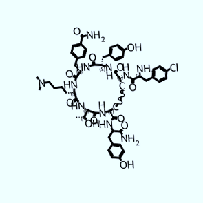 C[C@@H](O)[C@@H]1NC(=O)[C@H](CCCCN(C)C)NC(=O)[C@@H](Cc2ccc(C(N)=O)cc2)NC(=O)[C@H](Cc2ccc(O)cc2)NC(=O)[C@H](NC(=O)[C@@H](N)Cc2ccc(Cl)cc2)CSSC[C@@H](C(=O)NC(Cc2ccc(O)cc2)C(N)=O)NC1=O